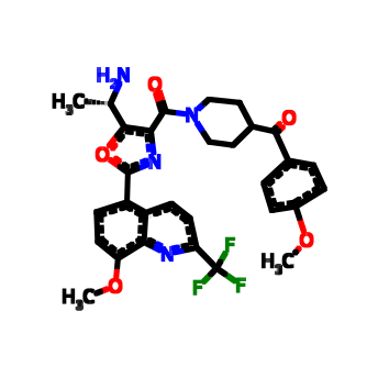 COc1ccc(C(=O)C2CCN(C(=O)c3nc(-c4ccc(OC)c5nc(C(F)(F)F)ccc45)oc3[C@H](C)N)CC2)cc1